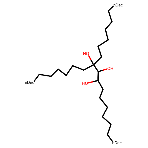 CCCCCCCCCCCCCCCCC(O)C(O)C(O)(CCCCCCCCCCCCCCCC)CCCCCCCCCCCCCCCC